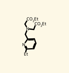 CCOC(=O)CN(CC(=O)OCC)Cc1cccc(CC)n1